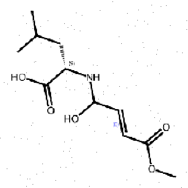 COC(=O)/C=C/C(O)N[C@@H](CC(C)C)C(=O)O